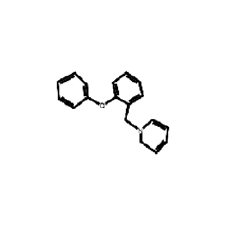 C1=CCN(Cc2ccccc2Oc2ccccc2)C=C1